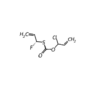 C=CC(Cl)OC(=O)S[C@H](F)C=C